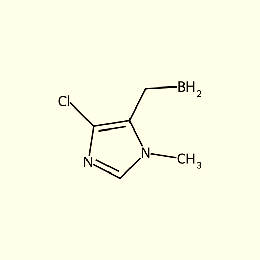 BCc1c(Cl)ncn1C